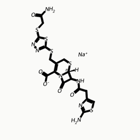 NC(=O)CSc1nnc(SCC2=C(C(=O)[O-])N3C(=O)C(NC(=O)Cc4csc(N)n4)[C@H]3SC2)s1.[Na+]